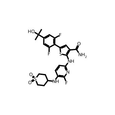 CC(C)(O)c1cc(F)c(-c2cc(C(N)=O)c(Nc3ccc(NC4CCS(=O)(=O)CC4)c(F)n3)s2)c(F)c1